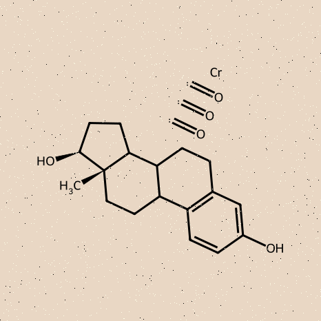 C[C@]12CCC3c4ccc(O)cc4CCC3C1CC[C@@H]2O.[C]=O.[C]=O.[C]=O.[Cr]